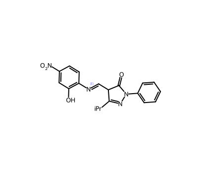 CC(C)C1=NN(c2ccccc2)C(=O)C1/C=N/c1ccc([N+](=O)[O-])cc1O